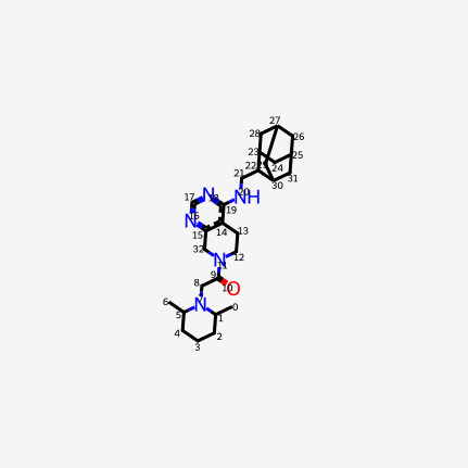 CC1CCCC(C)N1CC(=O)N1CCc2c(ncnc2NCC2C3CC4CC(C3)CC2C4)C1